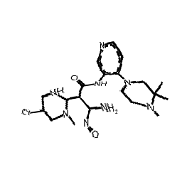 CN1CC(Cl)CNC1C(C(=O)Nc1cnccc1N1CCN(C)C(C)(C)C1)C(N)N=O